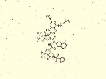 C#CCCC(NC(=O)[C@@H]1[C@@H]2[C@H](CN1C(=O)[C@@H](NC(=O)N[C@H](CN(C)S(=O)(=O)c1cccs1)C(C)(C)C)C1Cc3ccccc3C1)C2(C)C)C(=O)C(=O)NCC=C